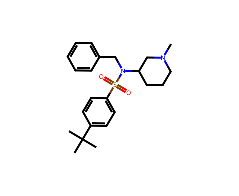 CN1CCCC(N(Cc2ccccc2)S(=O)(=O)c2ccc(C(C)(C)C)cc2)C1